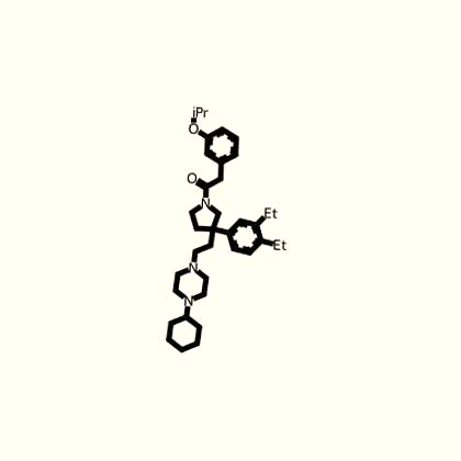 CCc1ccc(C2(CCN3CCN(C4CCCCC4)CC3)CCN(C(=O)Cc3cccc(OC(C)C)c3)C2)cc1CC